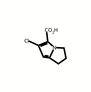 O=C(O)c1c(Cl)cc2n1CCC2